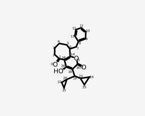 O=C1CCCCC(Cc2ccccc2)c2oc(=O)c(C(C3CC3)C3CC3)c(O)c21